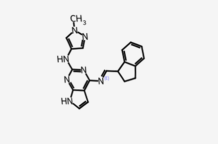 Cn1cc(Nc2nc(/N=C/C3CCc4ccccc43)c3cc[nH]c3n2)cn1